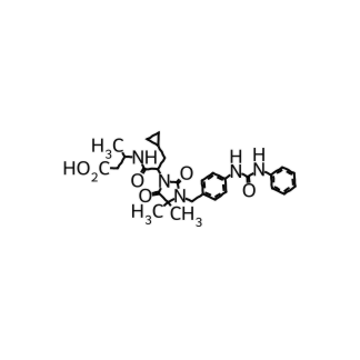 CC(CC(=O)O)NC(=O)C(CC1CC1)N1C(=O)N(Cc2ccc(NC(=O)Nc3ccccc3)cc2)C(C)(C)C1=O